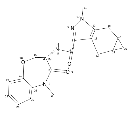 CN1C(=O)[C@@H](NC(=O)c2nn(C)c3c2CC2CC2C3)COc2ccccc21